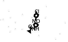 O=C(Nc1ccc2oc(-c3ccc(Cl)cc3)nc2c1)C1CC1